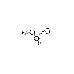 COc1[c]cc(N2CCC[C@@H](N)C2)c(OCCN2CCOCC2)c1